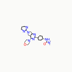 CN(C)C(=O)Nc1ccc(-c2nc3c(c(N4CCOCC4)n2)CN(c2ncccn2)C3)cc1